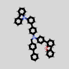 c1ccc(-c2ccc(CN(c3ccc(-c4cccc(-n5c6ccccc6c6ccccc65)c4)cc3)c3ccc(-c4cccc5c4oc4ccccc45)cc3)cc2)cc1